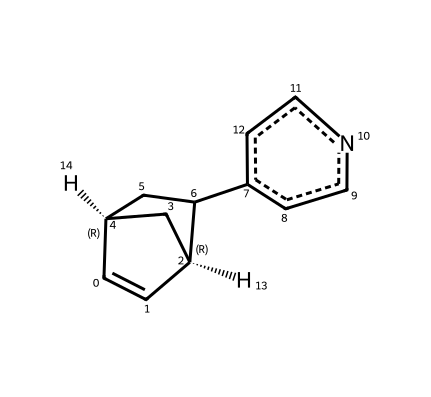 C1=C[C@H]2C[C@@H]1CC2c1ccncc1